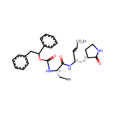 CCOC(=O)/C=C/[C@H](C[C@@H]1CCNC1=O)NC(=O)[C@H](CC(C)C)NC(=O)OC(Cc1ccccc1)c1ccccc1